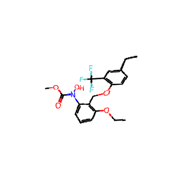 CCOc1cccc(N(O)C(=O)OC)c1COc1ccc(CC)cc1C(F)(F)F